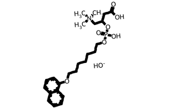 C[N+](C)(C)CC(CC(=O)O)OP(=O)(O)OCCCCCCCOc1cccc2ccccc12.[OH-]